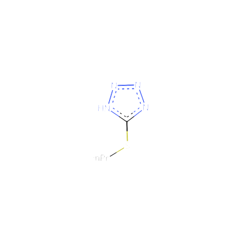 CC[CH]Sc1nnn[nH]1